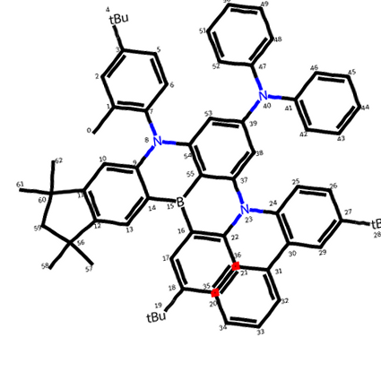 Cc1cc(C(C)(C)C)ccc1N1c2cc3c(cc2B2c4cc(C(C)(C)C)ccc4N(c4ccc(C(C)(C)C)cc4-c4ccccc4)c4cc(N(c5ccccc5)c5ccccc5)cc1c42)C(C)(C)CC3(C)C